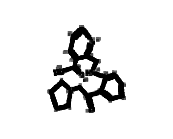 O=C(CN1CCCC1)c1ccccc1NCc1ncccc1C(=O)O